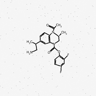 CC(=O)N1c2ccc(C(C)CN)cc2N(C(=O)Oc2ccc(F)cc2F)C[C@@H]1C